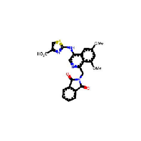 COc1cc(OC)c2c(CN3C(=O)c4ccccc4C3=O)ncc(Nc3nc(C(=O)O)cs3)c2c1